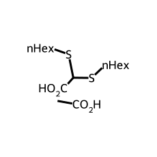 CC(=O)O.CCCCCCSC(SCCCCCC)C(=O)O